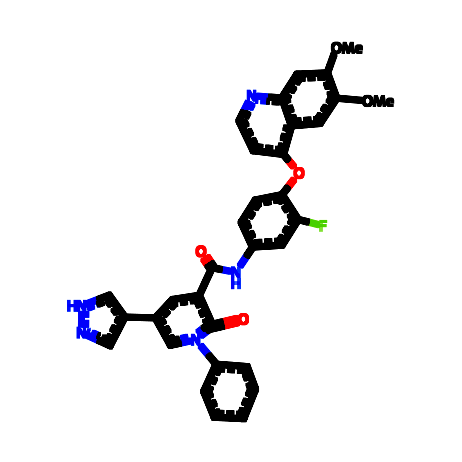 COc1cc2nccc(Oc3ccc(NC(=O)c4cc(-c5cn[nH]c5)cn(-c5ccccc5)c4=O)cc3F)c2cc1OC